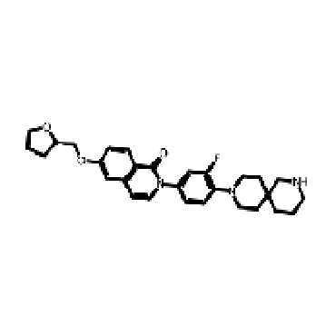 O=c1c2ccc(OC[C@H]3CCCO3)cc2ccn1-c1ccc(N2CCC3(CCCNC3)CC2)c(F)c1